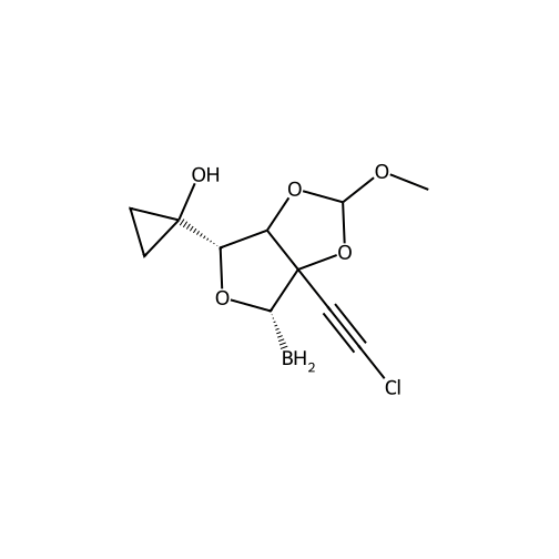 B[C@@H]1O[C@H](C2(O)CC2)C2OC(OC)OC21C#CCl